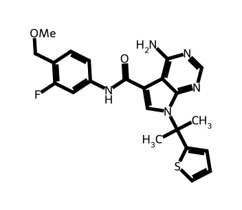 COCc1ccc(NC(=O)c2cn(C(C)(C)c3cccs3)c3ncnc(N)c23)cc1F